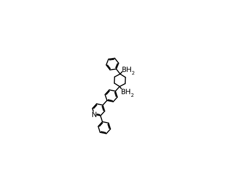 BC1(c2ccccc2)CCC(B)(c2ccc(-c3ccnc(-c4ccccc4)c3)cc2)CC1